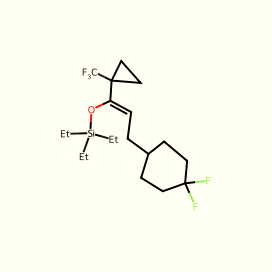 CC[Si](CC)(CC)O/C(=C\CC1CCC(F)(F)CC1)C1(C(F)(F)F)CC1